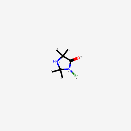 CC1(C)NC(C)(C)N(Br)C1=O